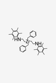 Cc1c(C)c(C)c(NC[CH2][Zr]([CH2]CNc2c(C)c(C)c(C)c(C)c2C)([CH2]c2ccccc2)[CH2]c2ccccc2)c(C)c1C